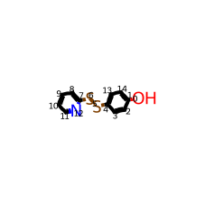 Oc1ccc(SSc2ccccn2)cc1